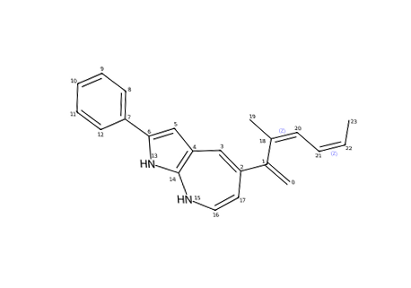 C=C(C1=Cc2cc(-c3ccccc3)[nH]c2NC=C1)/C(C)=C\C=C/C